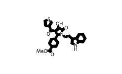 COC(=O)c1ccc(C2C(C(=O)c3ccsc3)=C(O)C(=O)N2CCc2c[nH]c3ccccc23)cc1